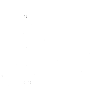 Nc1ccc(Cc2ccc(N)cc2C#Cc2ccccc2)c(C#Cc2ccccc2)c1